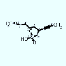 CC#CC(CCCCOC)CS(=O)(=O)O